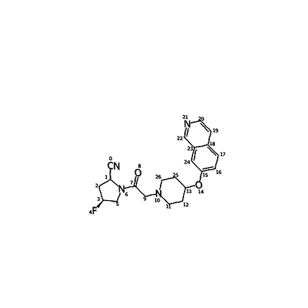 N#CC1C[C@H](F)CN1C(=O)CN1CCC(Oc2ccc3ccncc3c2)CC1